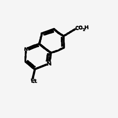 CCc1cnc2ccc(C(=O)O)cc2n1